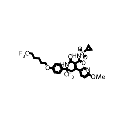 COc1ccc(C2=C(C(=O)NS(=O)(=O)C3CC3)C(=O)NC(c3ccc(OCCCCCC(F)(F)F)cc3)(C(F)(F)F)C2)cn1